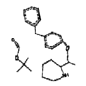 CC(C)(C)OC=O.CC(Oc1ccc(Cc2ccccc2)cc1)C1CCCCN1